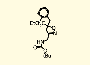 CCOC(=O)C1(Cc2ccccc2F)CC(CNC(=O)OC(C)(C)C)=NO1